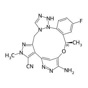 C[C@H]1Oc2cc(nnc2N)-c2c(nn(C)c2C#N)CN2C=NNN2c2ccc(F)cc21